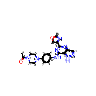 CC(=O)N1CCN(c2ccc(Nc3nc(-c4cocn4)nc4cn[nH]c34)cc2)CC1